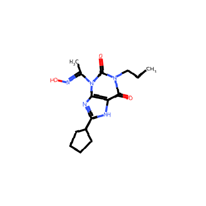 CCCn1c(=O)c2[nH]c(C3CCCC3)nc2n(C(C)=NO)c1=O